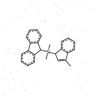 CC1=CC([Si](C)(C)C2c3ccccc3-c3ccccc32)c2ccccc21